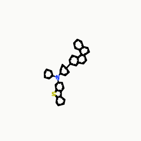 c1ccc(N(c2ccc(-c3ccc4c(ccc5ccc6ccccc6c54)c3)cc2)c2ccc3c(c2)sc2ccccc23)cc1